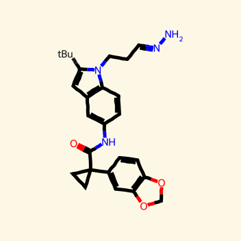 CC(C)(C)c1cc2cc(NC(=O)C3(c4ccc5c(c4)OCO5)CC3)ccc2n1CC/C=N/N